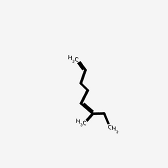 C=CCCC=C(C)CC